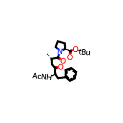 CC(=O)N[C@H](Cc1ccccc1)C(=O)C[C@H](C)C(=O)N1CCC[C@H]1C(=O)OC(C)(C)C